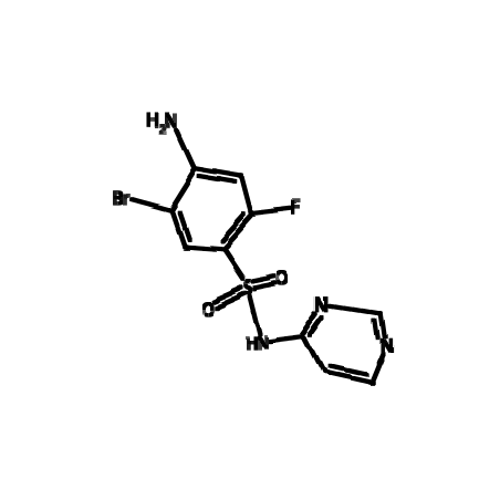 Nc1cc(F)c(S(=O)(=O)Nc2ccncn2)cc1Br